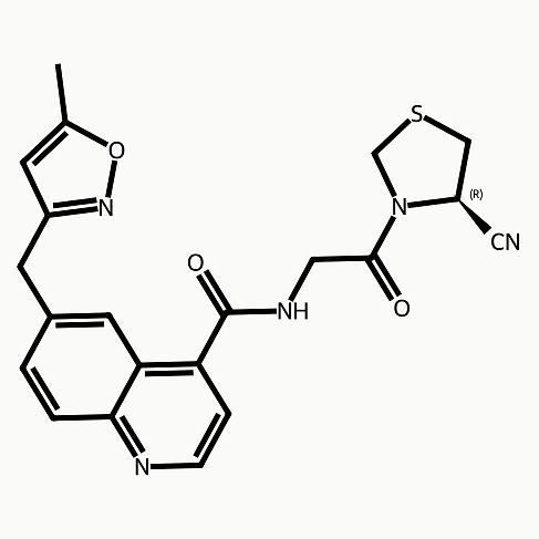 Cc1cc(Cc2ccc3nccc(C(=O)NCC(=O)N4CSC[C@H]4C#N)c3c2)no1